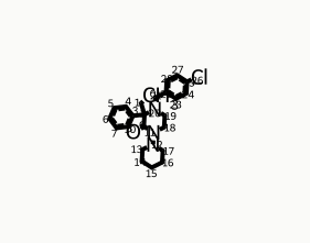 CCC1(c2ccccc2)C(=O)N(N2CCCCC2)CCN1Cc1ccc(Cl)cc1